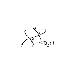 CC(C)(C(=O)O)S(C)(C)C